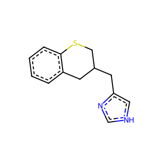 c1ccc2c(c1)CC(Cc1c[nH]cn1)CS2